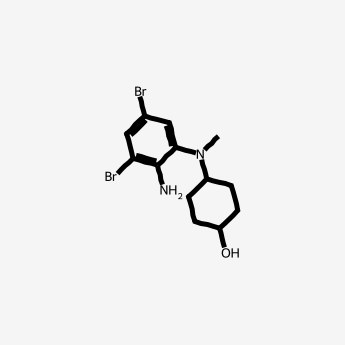 CN(c1cc(Br)cc(Br)c1N)C1CCC(O)CC1